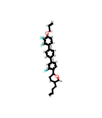 C=CCCC1CCC(c2ccc(-c3ccc(-c4ccc(OCC=C)c(F)c4F)cc3)cc2F)OC1